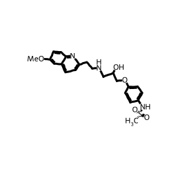 COc1ccc2nc(CCNCC(O)COc3ccc(NS(C)(=O)=O)cc3)ccc2c1